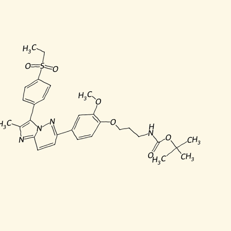 CCS(=O)(=O)c1ccc(-c2c(C)nc3ccc(-c4ccc(OCCCNC(=O)OC(C)(C)C)c(OC)c4)nn23)cc1